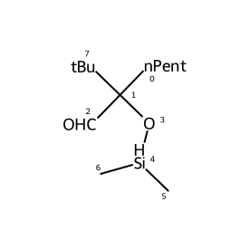 CCCCCC(C=O)(O[SiH](C)C)C(C)(C)C